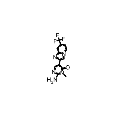 Cn1c(N)ncc(-c2cn3ccc(C(F)(F)F)cc3n2)c1=O